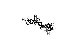 CN1CC(NS(=O)(=O)c2ccc(S(=O)(=O)Nc3ccc(Cl)c4c(Cl)c[nH]c34)cc2)CCC1=O